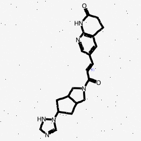 O=C1CCc2cc(/C=C/C(=O)N3CC4CC(N5C=NCN5)CC4C3)cnc2N1